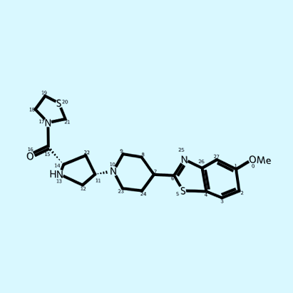 COc1ccc2sc(C3CCN([C@@H]4CN[C@H](C(=O)N5CCSC5)C4)CC3)nc2c1